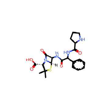 CC1(C)S[C@@H]2C(NC(=O)C(NC(=O)C3CCCN3)c3ccccc3)C(=O)N2[C@H]1C(=O)O